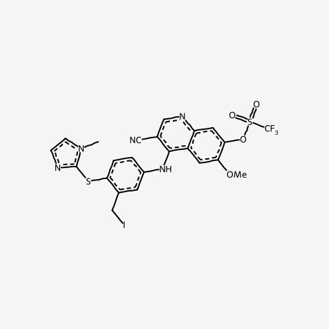 COc1cc2c(Nc3ccc(Sc4nccn4C)c(CI)c3)c(C#N)cnc2cc1OS(=O)(=O)C(F)(F)F